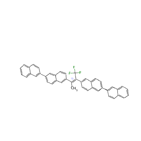 C/C(=C(\c1ccc2cc(-c3ccc4ccccc4c3)ccc2c1)C(F)(F)F)c1ccc2cc(-c3ccc4ccccc4c3)ccc2c1